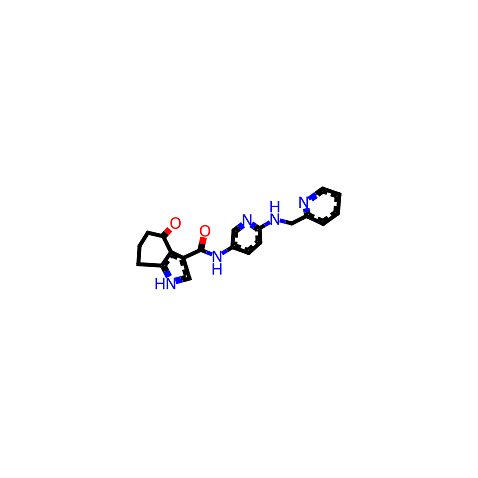 O=C(Nc1ccc(NCc2ccccn2)nc1)c1c[nH]c2c1C(=O)CCC2